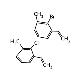 C=Cc1cccc(C)c1Br.C=Cc1cccc(C)c1Cl